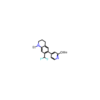 CCN1CCCc2cc(-c3ccnc(OC)c3)c(C(F)F)cc21